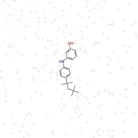 CC(C)(C)CC(C)(C)c1ccc(Nc2cccc(O)c2)cc1